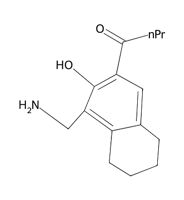 CCCC(=O)c1cc2c(c(CN)c1O)CCCC2